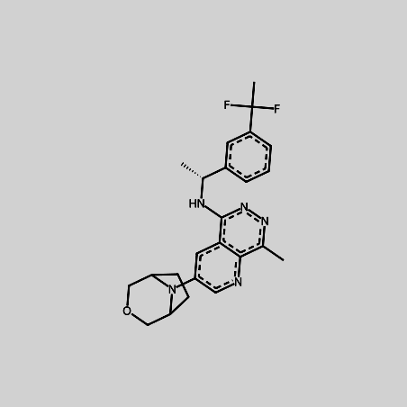 Cc1nnc(N[C@H](C)c2cccc(C(C)(F)F)c2)c2cc(N3C4CCC3COC4)cnc12